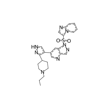 CCCN1CCC(c2n[nH]cc2-c2cnc3cnn(S(=O)(=O)c4cnc5ccccn45)c3c2)CC1